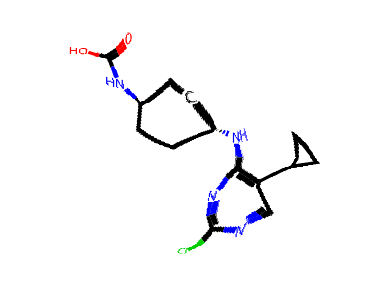 O=C(O)N[C@H]1CC[C@H](Nc2nc(Cl)ncc2C2CC2)CC1